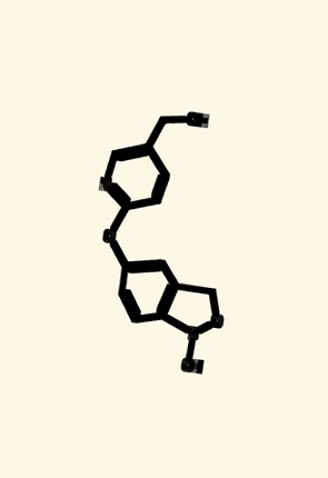 OCc1ccc(Oc2ccc3c(c2)COB3O)nc1